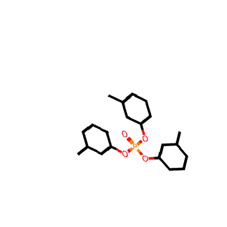 CC1CCCC(OP(=O)(OC2CCCC(C)C2)OC2CCCC(C)C2)C1